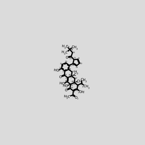 CC(=O)C1=C(O)C(C(C)C)[C@@]2(C)C[C@@]3(C)Cc4c(C5=CC=CC5C(=O)CC(C)(C)C)ccc(O)c4C(=O)C3=C(O)[C@@]2(O)C1=O